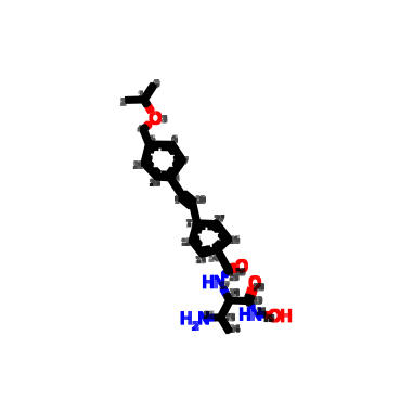 CC(C)OCc1ccc(C#Cc2ccc(C(=O)NC(C(=O)NO)C(C)N)cc2)cc1